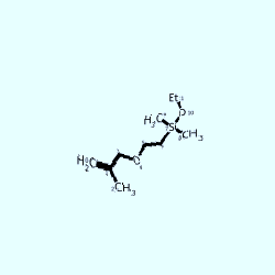 C=C(C)COCC[Si](C)(C)OCC